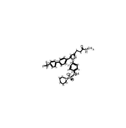 CNC(=O)CCc1cc(-c2ccc(-c3ccc(C(F)(F)F)cc3)cc2)n(-c2ccc(NS(=O)(=O)N3CCCCC3)cc2)n1